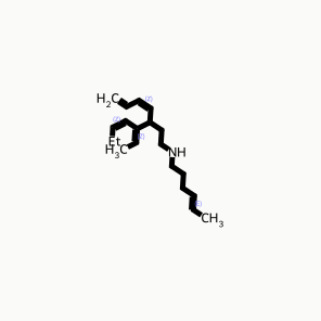 C=C/C=C\C(CCNCCC/C=C/C)C(/C=C\CC)=C/C